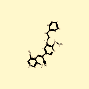 COc1ncc(C(C#N)=Cc2c(Cl)cncc2Cl)cc1OCCc1ccccc1